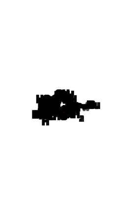 CCC(C)[C@H](NC(=O)[C@H](CCSC)NC=O)C(=O)N[C@@H](Cc1ccccc1)C(=O)N[C@@H](CC(C)C)C(=O)NCC[C@@H](O)[C@@H]1NC(=O)[C@H]([C@H](O)[C@@H](O)c2ccc(O)cc2)NC(=O)[C@@H]2C[C@@H](O)CN2C(=O)[C@H]([C@@H](C)O)NC(=O)[C@@H](NC(=O)CCCCCCCC[C@@H](C)C[C@@H](C)CC)C[C@@H](O)[C@@H](NCCN)NC(=O)[C@@H]2[C@@H](O)CCN2C1=O